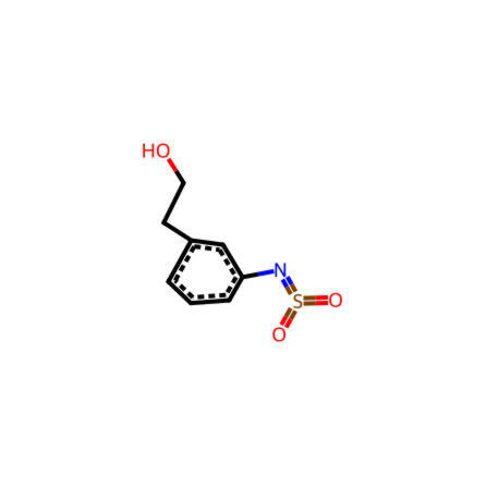 O=S(=O)=Nc1cccc(CCO)c1